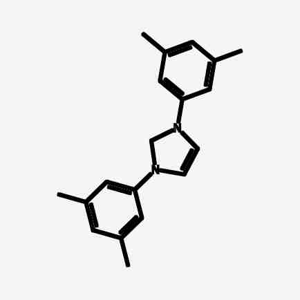 Cc1cc(C)cc(N2C=CN(c3cc(C)cc(C)c3)C2)c1